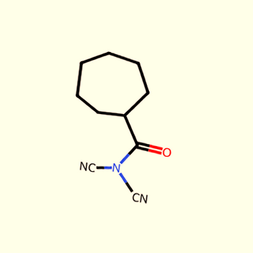 N#CN(C#N)C(=O)C1CCCCCC1